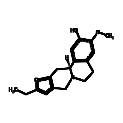 CCc1cc2c(o1)C[C@H]1c3cc(O)c(OC)cc3CCN1C2